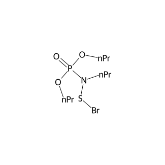 CCCOP(=O)(OCCC)N(CCC)SBr